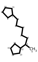 CC(CC[CH]CCC1CCCC1)C1CCCC1